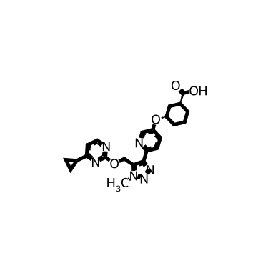 Cn1nnc(-c2ccc(O[C@H]3CCC[C@H](C(=O)O)C3)cn2)c1COc1nccc(C2CC2)n1